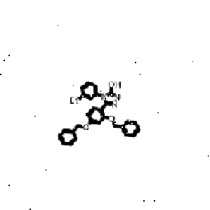 CCc1cccc(-n2c(O)nnc2-c2ccc(OCc3ccccc3)cc2OCc2ccccc2)c1